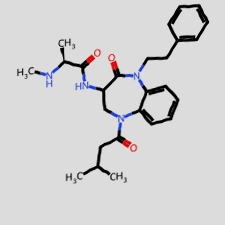 CN[C@@H](C)C(=O)NC1CN(C(=O)CC(C)C)c2ccccc2N(CCc2ccccc2)C1=O